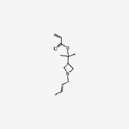 C=CC(=O)OC(C)(C)C1CN(CC=CC)C1